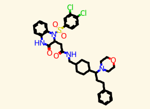 O=C(CC1C(=O)Nc2ccccc2N1S(=O)(=O)c1ccc(Cl)c(Cl)c1)NCC1CCC(C(CCc2ccccc2)N2CCOCC2)CC1